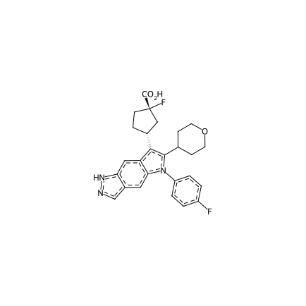 O=C(O)[C@]1(F)CC[C@@H](c2c(C3CCOCC3)n(-c3ccc(F)cc3)c3cc4cn[nH]c4cc23)C1